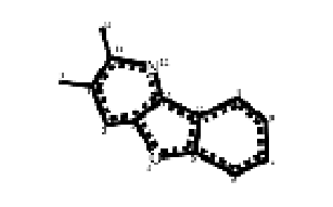 Cc1cc2oc3ccccc3c2nc1C